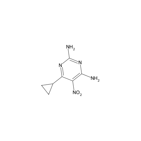 Nc1nc(N)c([N+](=O)[O-])c(C2CC2)n1